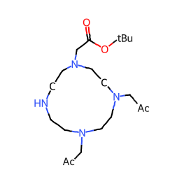 CC(=O)CN1CCNCCN(CC(=O)OC(C)(C)C)CCN(CC(C)=O)CC1